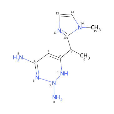 CC(C1=CC(N)=NN(N)N1)c1nccn1C